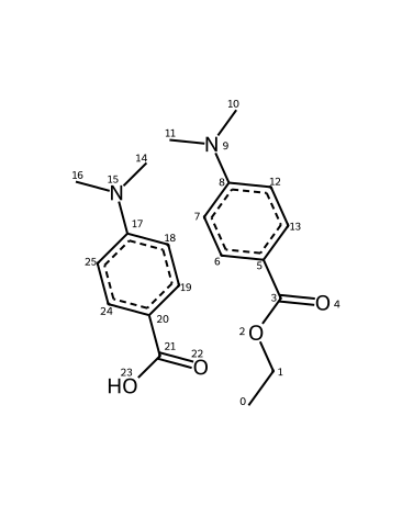 CCOC(=O)c1ccc(N(C)C)cc1.CN(C)c1ccc(C(=O)O)cc1